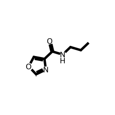 CCCNC(=O)c1co[c]n1